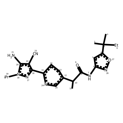 CCC(C)(C)c1cc(NC(=O)C(C)c2ccc(-c3nn(C(C)C)c(N)c3C#N)nc2)no1